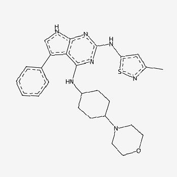 Cc1cc(Nc2nc(NC3CCC(N4CCOCC4)CC3)c3c(-c4ccccc4)c[nH]c3n2)sn1